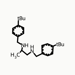 CC(CNCc1ccc(C(C)(C)C)cc1)NCc1ccc(C(C)(C)C)cc1